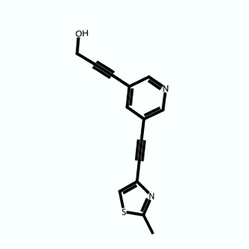 Cc1nc(C#Cc2cncc(C#CCO)c2)cs1